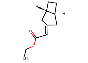 CCOC(=O)C=C1C[C@@H]2CC[C@H]2C1